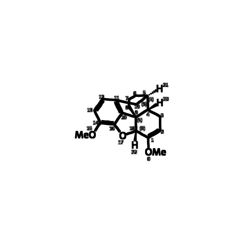 COC1=CC[C@H]2[C@@H]3CCC[C@@]24c2c(ccc(OC)c2O[C@@H]14)C3